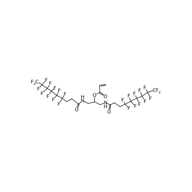 C=CC(=O)OC(CNC(=O)CCC(F)(F)C(F)(F)C(F)(F)C(F)(F)C(F)(F)C(F)(F)F)CNC(=O)CCC(F)(F)C(F)(F)C(F)(F)C(F)(F)C(F)(F)C(F)(F)F